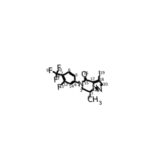 C[C@H]1CN(c2ccc(C(F)(F)F)c(F)c2)C(=O)c2c(I)cnn21